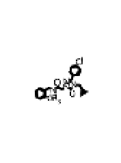 O=C(Cn1nc(-c2ccc(Cl)cc2)n(CC2CC2)c1=O)NCc1ccccc1C(F)(F)F